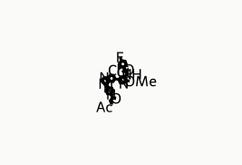 COc1ncc(-c2ccc3ncnc(N4CCN(C(=O)C=CC(C)=O)CC4)c3c2)cc1NS(=O)(=O)c1ccc(F)cc1Cl